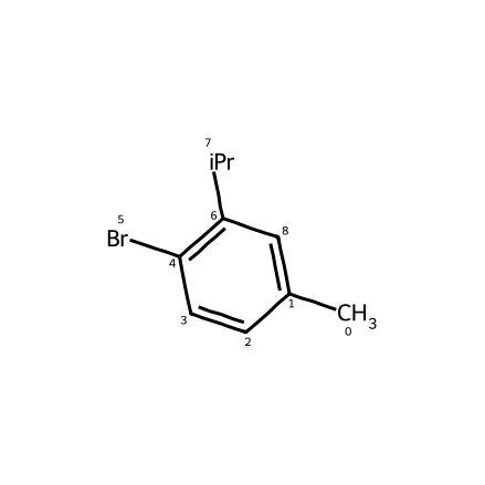 Cc1ccc(Br)c(C(C)C)c1